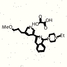 CCN1CCN(c2nc(-c3cncc(CCCOC)c3)cc3ccccc23)CC1.O=C(O)C(=O)O